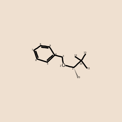 [CH2][C@H](OCc1ccccc1)C(C)(C)C